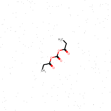 CCC(=O)OC(=O)OC(=O)CC